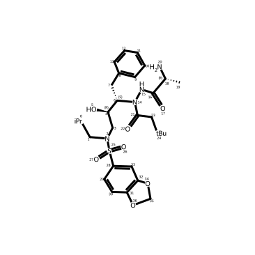 CC(C)CN(C[C@@H](O)[C@H](Cc1ccccc1)N(NC(=O)[C@@H](C)N)C(=O)CC(C)(C)C)S(=O)(=O)c1ccc2c(c1)OCO2